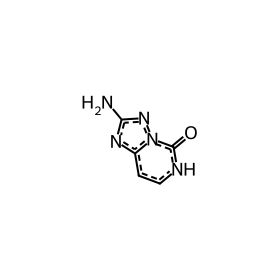 Nc1nc2cc[nH]c(=O)n2n1